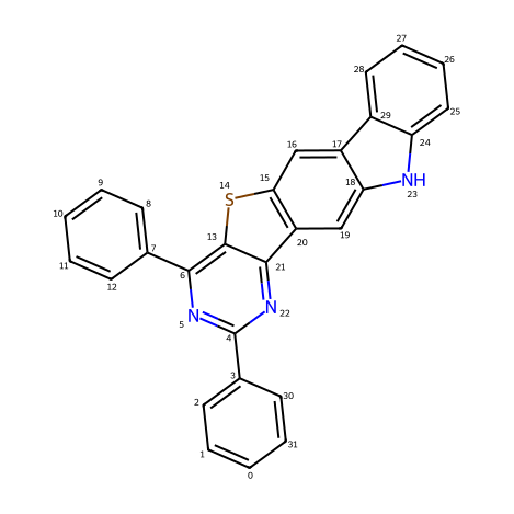 c1ccc(-c2nc(-c3ccccc3)c3sc4cc5c(cc4c3n2)[nH]c2ccccc25)cc1